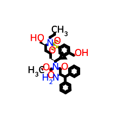 CCCN([C@H](CO)CCC[C@H](C1CC1)N(C(=O)OC)C(=O)[C@@H](N)C(c1ccccc1)c1ccccc1)S(=O)(=O)c1ccc(CO)cc1